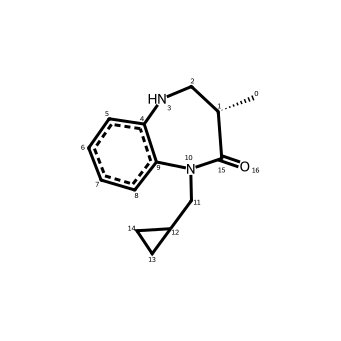 C[C@H]1CNc2ccccc2N(CC2CC2)C1=O